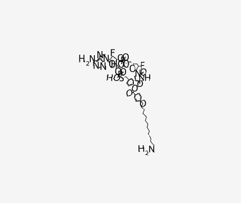 NCCCCCCCCCCCCOc1ccc(C(=O)Oc2ccc(CSP(=O)(O)OC[C@H]3O[C@@H](n4cnc5c(N)ncnc54)[C@H](F)[C@@H]3OP(=O)(O)OC[C@@H]3C[C@@H](F)[C@H](n4ccc(=O)[nH]c4=O)O3)cc2)cc1